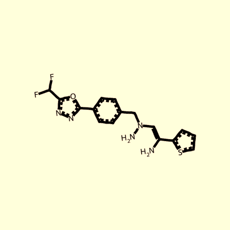 N/C(=C\N(N)Cc1ccc(-c2nnc(C(F)F)o2)cc1)c1cccs1